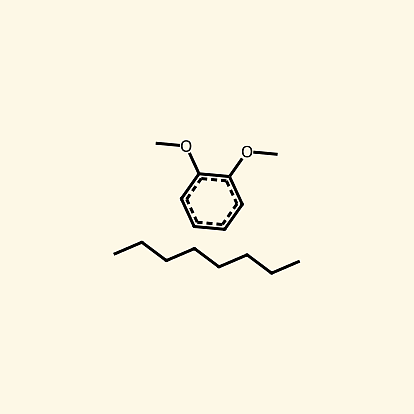 CCCCCCCC.COc1ccccc1OC